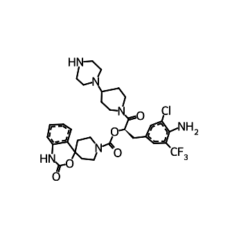 Nc1c(Cl)cc(C[C@@H](OC(=O)N2CCC3(CC2)OC(=O)Nc2ccccc23)C(=O)N2CCC(N3CCNCC3)CC2)cc1C(F)(F)F